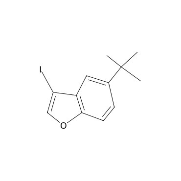 CC(C)(C)c1ccc2occ(I)c2c1